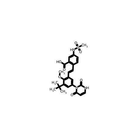 COc1c(C=Cc2ccc(NS(C)(=O)=O)cc2C(=O)O)cc(-n2c(=O)cc[nH]c2=O)cc1C(C)(C)C